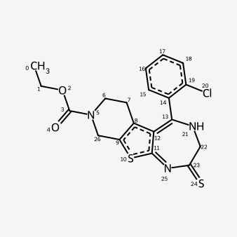 CCOC(=O)N1CCc2c(sc3c2=C(c2ccccc2Cl)NCC(=S)N=3)C1